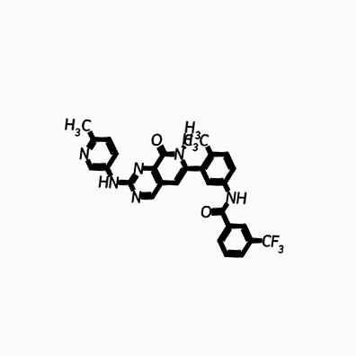 Cc1ccc(Nc2ncc3cc(-c4cc(NC(=O)c5cccc(C(F)(F)F)c5)ccc4C)n(C)c(=O)c3n2)cn1